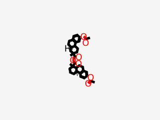 CC(=O)Oc1ccc2c(c1)CCC1C(C)(C(=O)OC(=O)C3(C)CCC4c5cc(OC(C)=O)ccc5CC[C@H]4C3)CCC[C@]21C